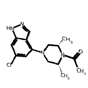 CC(=O)N1[C@H](C)CN(c2cc(Cl)cc3[nH]ncc23)C[C@@H]1C